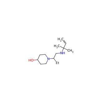 C=CC(C)(C)NCC(CC)N1CCC(O)CC1